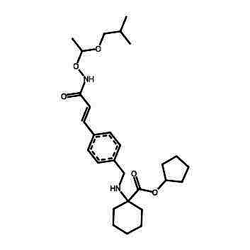 CC(C)COC(C)ONC(=O)C=Cc1ccc(CNC2(C(=O)OC3CCCC3)CCCCC2)cc1